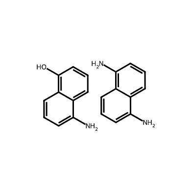 Nc1cccc2c(N)cccc12.Nc1cccc2c(O)cccc12